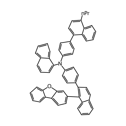 CCCc1ccc(-c2ccc(N(c3ccc(-c4ccc5ccccc5c4-c4ccc5c(c4)oc4ccccc45)cc3)c3cccc4ccccc34)cc2)c2ccccc12